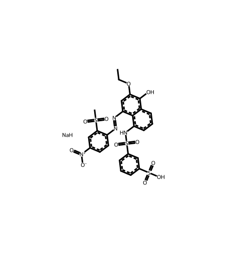 CCOc1cc(N=Nc2ccc([N+](=O)[O-])cc2S(C)(=O)=O)c2c(NS(=O)(=O)c3cccc(S(=O)(=O)O)c3)cccc2c1O.[NaH]